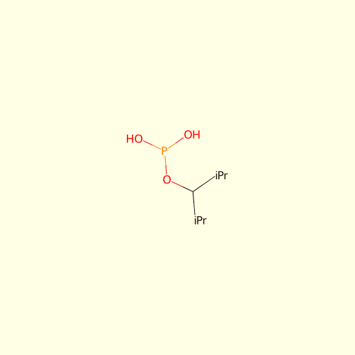 CC(C)C(OP(O)O)C(C)C